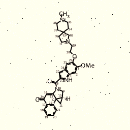 COc1cc2[nH]c(C(=O)N3C[C@H]4CC45C3=CC(=O)c3ccccc35)cc2cc1OCCN1CCC2(CCN(C)CC2)C1